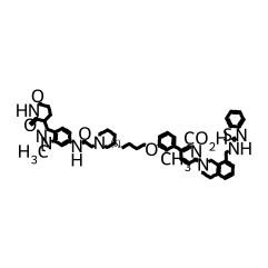 Cc1c(OCCCC[C@H]2CCCN(CC(=O)Nc3ccc4c(C5CCC(=O)NC5=O)nn(C)c4c3)C2)cccc1-c1ccc(N2CCc3cccc(CNc4nc5ccccc5s4)c3C2)nc1C(=O)O